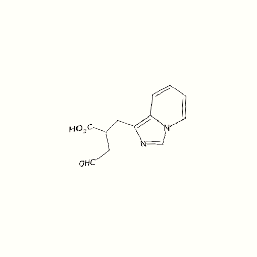 O=CCC(Cc1ncn2ccccc12)C(=O)O